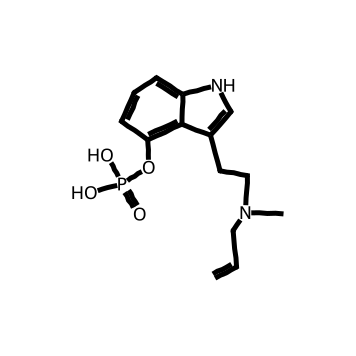 C=CCN(C)CCc1c[nH]c2cccc(OP(=O)(O)O)c12